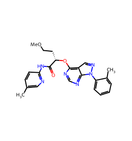 COCC[C@H](Oc1ncnc2c1cnn2-c1ccccc1C)C(=O)Nc1ccc(C)cn1